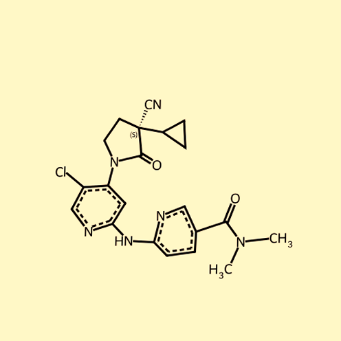 CN(C)C(=O)c1ccc(Nc2cc(N3CC[C@@](C#N)(C4CC4)C3=O)c(Cl)cn2)nc1